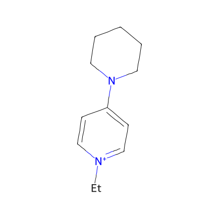 CC[n+]1ccc(N2CCCCC2)cc1